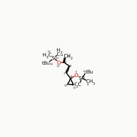 C=C(/C=C/C1(O[Si](C)(C)C(C)(C)C)CC1)O[Si](C)(C)C(C)(C)C